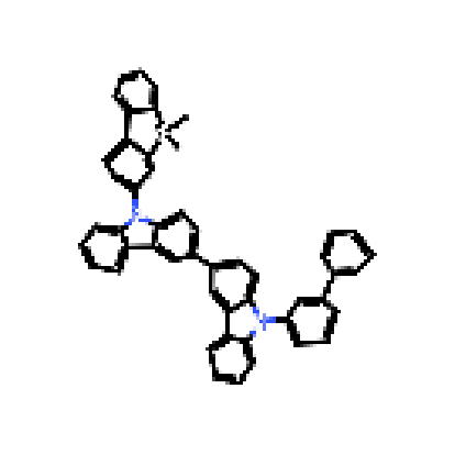 C[Si]1(C)c2ccccc2-c2ccc(-n3c4ccccc4c4cc(-c5ccc6c(c5)c5ccccc5n6-c5cccc(-c6ccccc6)c5)ccc43)cc21